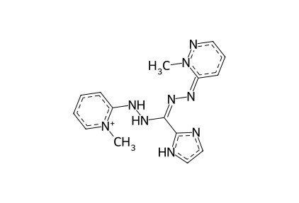 Cn1nccc/c1=N/N=C(/NNc1cccc[n+]1C)c1ncc[nH]1